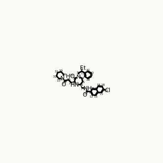 CC[C@H](CN1CC[C@@H](CNC(=O)c2ccc3cc(Cl)ccc3c2)N[C@@H](CCC(=O)N2CCCCC2)C1O)c1ccccc1